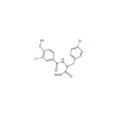 CNC(=O)N(Cc1ccc(Br)cc1)NC(=O)c1ccc(OC(C)C)c(Cl)c1